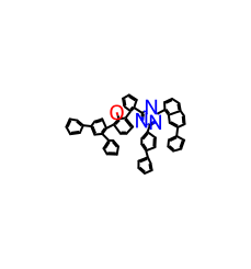 c1ccc(-c2ccc(-c3nc(-c4cccc5ccc(-c6ccccc6)cc45)nc(-c4cccc5oc6c(-c7ccc(-c8ccccc8)cc7-c7ccccc7)cccc6c45)n3)cc2)cc1